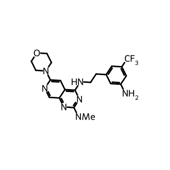 CNc1nc(NCCc2cc(N)cc(C(F)(F)F)c2)c2cc(N3CCOCC3)ncc2n1